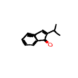 CC(C)C1=Cc2ccccc2C1=O